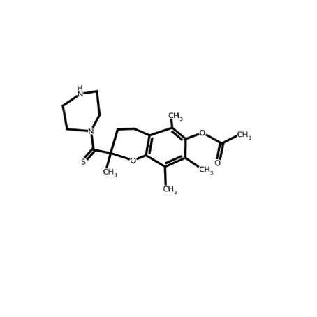 CC(=O)Oc1c(C)c(C)c2c(c1C)CCC(C)(C(=S)N1CCNCC1)O2